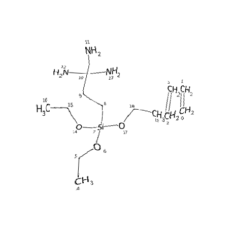 C=C.C=C.CCO[Si](CCC(N)(N)N)(OCC)OCC